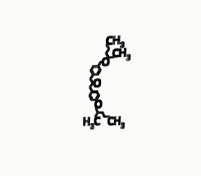 CCCCC(CC)COc1ccc(CC(=O)Cc2ccc(COC(CC)CCCC)cc2)cc1